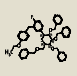 CCOc1ccc(Cc2cc([C@@H]3S[C@H](COCc4ccccc4)[C@@H](OCc4ccccc4)[C@H](OCc4ccccc4)[C@H]3OCc3ccccc3)ccc2F)cc1